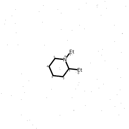 [CH2]CC1CCCCN1CC